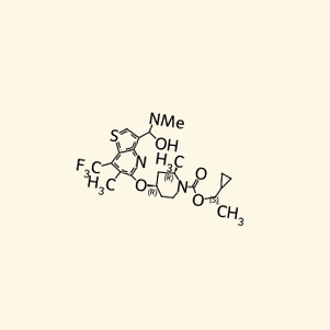 CNC(O)c1csc2c(C(F)(F)F)c(C)c(O[C@@H]3CCN(C(=O)O[C@@H](C)C4CC4)[C@H](C)C3)nc12